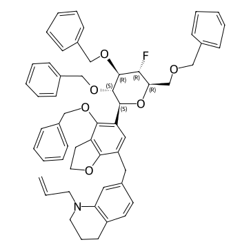 C=CCN1CCCc2ccc(Cc3cc([C@@H]4O[C@H](COCc5ccccc5)[C@@H](F)[C@H](OCc5ccccc5)[C@H]4OCc4ccccc4)c(OCc4ccccc4)c4c3OCC4)cc21